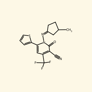 CC1CCC(=Nn2c(-c3cccs3)cc(C(F)(F)F)c(C#N)c2=O)C1